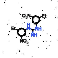 CCc1cc(NC(=N)Nc2cc(CC)cc([N+](=O)[O-])c2)cc([N+](=O)[O-])c1